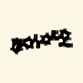 O=C(Nc1ccc(C23CC4CC(CC(C4)C2)C3)cc1)c1ccc(C(O)Nc2ccccc2C(=O)O)cc1